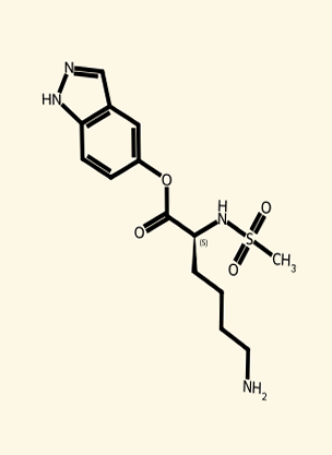 CS(=O)(=O)N[C@@H](CCCCN)C(=O)Oc1ccc2[nH]ncc2c1